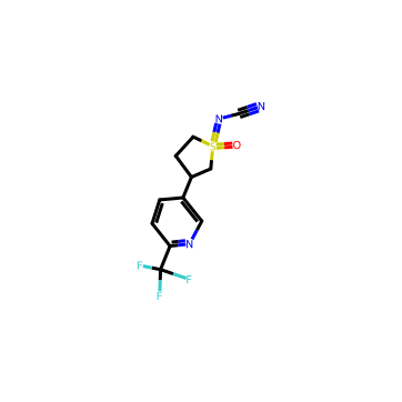 N#CN=S1(=O)CCC(c2ccc(C(F)(F)F)nc2)C1